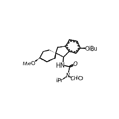 CO[C@H]1CC[C@]2(CC1)Cc1ccc(OCC(C)C)cc1C2NC(=O)N(C=O)C(C)C